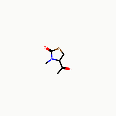 CC(=O)C1CSC(=O)N1C